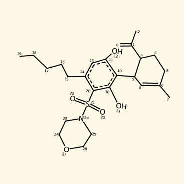 C=C(C)C1CCC(C)=CC1c1c(O)cc(CCCCC)c(S(=O)(=O)N2CCOCC2)c1O